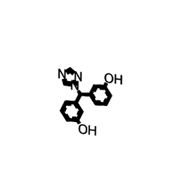 Oc1cccc(C(c2cccc(O)c2)n2cncn2)c1